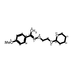 COc1ccc(/C(C)=N/OCCOC2CCCCO2)cc1